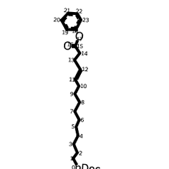 CCCCCCCCCCCCCCCCCCCC/C=C/CCC(=O)Oc1ccccc1